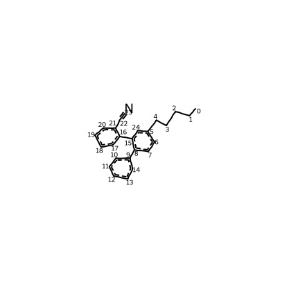 CCCCCc1ccc(-c2ccccc2)c(-c2ccccc2C#N)c1